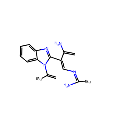 C=C(N)/C(=C\N=C(/N)C(C)(C)C)c1nc2ccccc2n1C(=C)C(C)(C)C